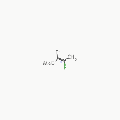 CC/C(OC)=C(\C)F